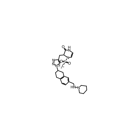 O=C1NC=CN(S(=O)(=O)C(F)(F)F)C1Cc1cn(C2CCc3ccc(CNN4CCCCC4)cc3C2)nn1